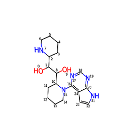 OC(C1CCCCN1)C(O)C1CCCCN1c1ncnc2[nH]ccc12